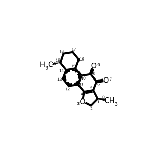 C[C@H]1COC2=C1C(=O)C(=O)c1c2ccc2c1CCC[C@@H]2C